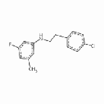 Cc1cc(F)cc(NCCc2ccc(Cl)cc2)c1